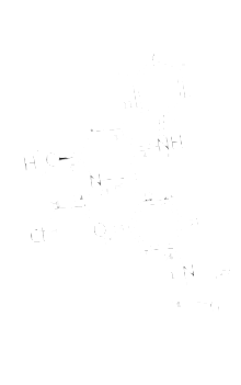 C[C@H]1Cc2c([nH]c3ccccc23)[C@H](c2ccc(N3CCC3)cc2)N1C(=O)CCl